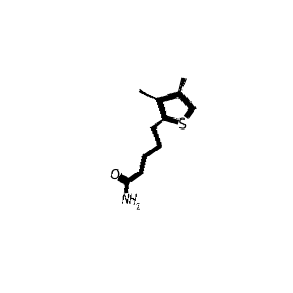 C[C@@H]1[C@H](CCCCC(N)=O)SC[C@@H]1C